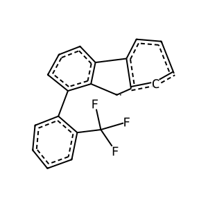 FC(F)(F)c1ccccc1-c1cccc2c1[CH]c1ccccc1-2